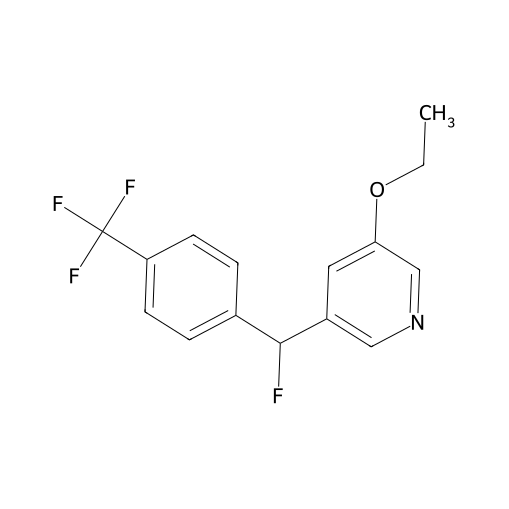 CCOc1cncc(C(F)c2ccc(C(F)(F)F)cc2)c1